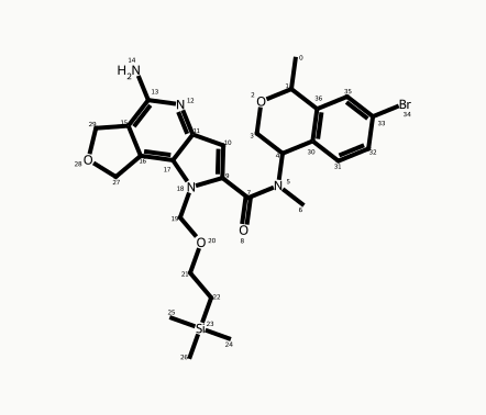 CC1OCC(N(C)C(=O)c2cc3nc(N)c4c(c3n2COCC[Si](C)(C)C)COC4)c2ccc(Br)cc21